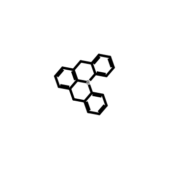 c1ccc2c(c1)Cc1cccc3c1B2c1ccccc1C3